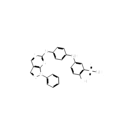 Cc1ccc(Nc2ccc(Nc3ncc4cnn(-c5ccccc5)c4n3)cc2)cc1S(N)(=O)=O